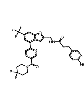 Nc1ccc(C=CC(=O)NCc2cc3c(-c4ccc(C(=O)N5CCC(F)(F)CC5)cn4)cc(C(F)(F)F)cc3o2)cn1